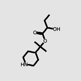 CCC(O)C(=O)OC(C)(C)C1CCNCC1